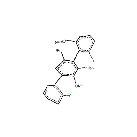 COc1cccc(I)c1-c1c(C(C)C)cc(-c2ccccc2F)c(OC)c1C(C)C